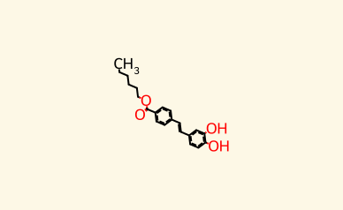 CCCCCCOC(=O)c1ccc(/C=C/c2ccc(O)c(O)c2)cc1